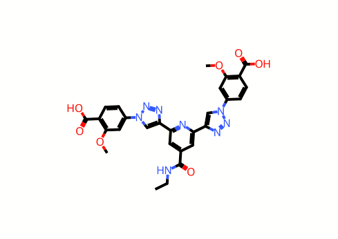 CCNC(=O)c1cc(-c2cn(-c3ccc(C(=O)O)c(OC)c3)nn2)nc(-c2cn(-c3ccc(C(=O)O)c(OC)c3)nn2)c1